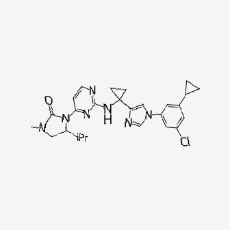 CC(C)C1CN(C)C(=O)N1c1ccnc(NC2(c3cn(-c4cc(Cl)cc(C5CC5)c4)cn3)CC2)n1